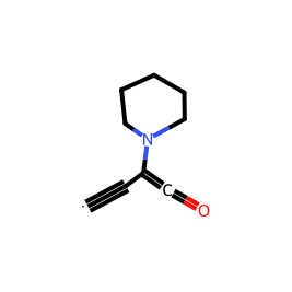 [C]#CC(=C=O)N1CCCCC1